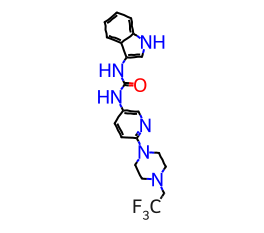 O=C(Nc1ccc(N2CCN(CC(F)(F)F)CC2)nc1)Nc1c[nH]c2ccccc12